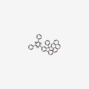 C1=Cc2cc(C3(c4ccccc4)c4ccccc4-c4ccc(-c5nc(-c6ccccc6)nc(-c6ccccc6)n5)cc43)c3cccc4c3c2C(=CC4)C1